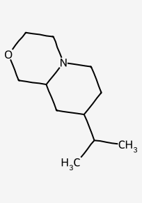 CC(C)C1CCN2CCOCC2C1